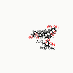 CC(=O)OC[C@H]1O[C@@H](OC2C[C@@H]3C4(CC[C@]5(C)[C@@H]([C@@]6(C)CC[C@@H](C(C)(C)O)O6)C(=O)C[C@@]35C)C[C@@]43CCC(O[C@@H]4OC[C@@H](O)C(O)[C@H]4OC(C)=O)C(C)(C)[C@H]23)C(O)[C@@H](OC(C)=O)[C@@H]1OC(C)=O